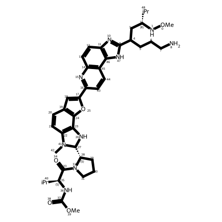 CON[C@H](CC(CCCN)c1nc2ccc3nc(-c4cc5ccc6c(c5o4)NC([C@@H]4CCCN4C(=O)[C@@H](NC(=O)OC)C(C)C)N6C)ccc3c2[nH]1)C(C)C